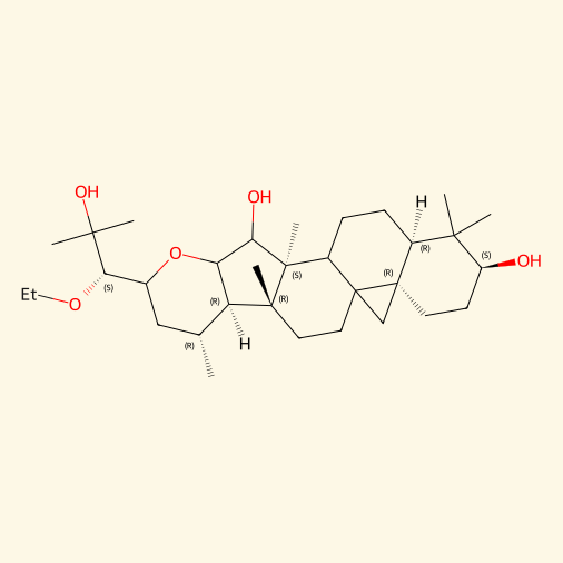 CCO[C@@H](C1C[C@@H](C)[C@H]2C(O1)C(O)[C@@]1(C)C3CC[C@H]4C(C)(C)[C@@H](O)CC[C@@]45CC35CC[C@]21C)C(C)(C)O